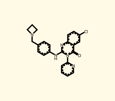 O=c1c2cc(Cl)ccc2nc(Nc2ccc(CN3CCC3)cc2)n1-c1ccccn1